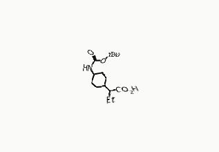 CCC(C(=O)O)C1CCC(NC(=O)OC(C)(C)C)CC1